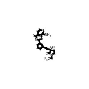 Cc1nc(-c2cccc(C#C[C@]3(O)CCN(CC(F)(F)F)C3=O)c2)nc2c(N)nccc12